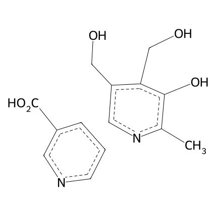 Cc1ncc(CO)c(CO)c1O.O=C(O)c1cccnc1